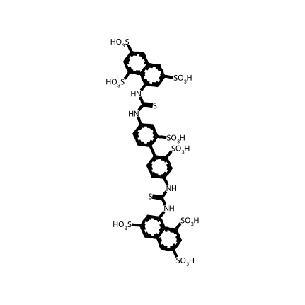 O=S(=O)(O)c1cc(NC(=S)Nc2ccc(-c3ccc(NC(=S)Nc4cc(S(=O)(=O)O)cc5cc(S(=O)(=O)O)cc(S(=O)(=O)O)c45)cc3S(=O)(=O)O)c(S(=O)(=O)O)c2)c2c(S(=O)(=O)O)cc(S(=O)(=O)O)cc2c1